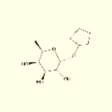 C[C@H]1O[C@H](OC2CCCC2)[C@H](O)[C@@H](O)[C@H]1O